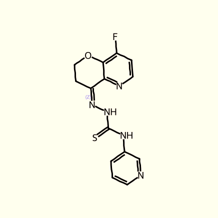 Fc1ccnc2c1OCC/C2=N/NC(=S)Nc1cccnc1